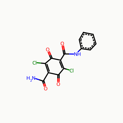 NC(=O)C1=C(Cl)C(=O)C(C(=O)Nc2ccccc2)=C(Cl)C1=O